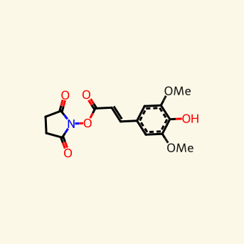 COc1cc(/C=C/C(=O)ON2C(=O)CCC2=O)cc(OC)c1O